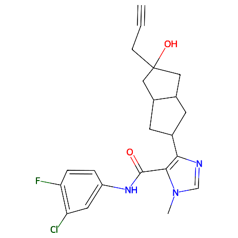 C#CCC1(O)CC2CC(c3ncn(C)c3C(=O)Nc3ccc(F)c(Cl)c3)CC2C1